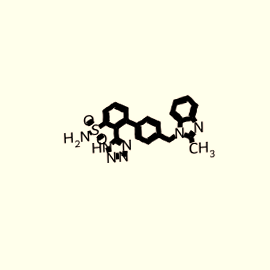 Cc1nc2ccccc2n1Cc1ccc(-c2cccc(S(N)(=O)=O)c2-c2nnn[nH]2)cc1